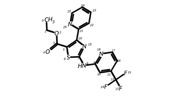 CCOC(=O)c1sc(Nc2cc(C(F)(F)F)ccn2)nc1-c1ccccn1